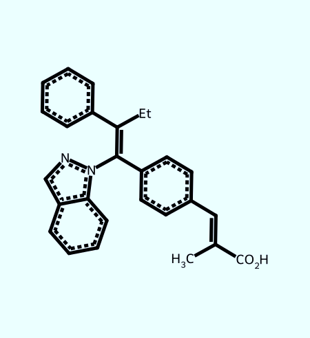 CCC(=C(c1ccc(C=C(C)C(=O)O)cc1)n1ncc2ccccc21)c1ccccc1